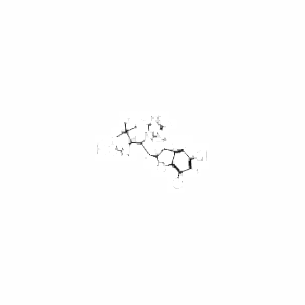 CC(C)(C)C(=NO)C(CC1Cc2cc(Cl)cc(Cl)c2O1)n1cncn1